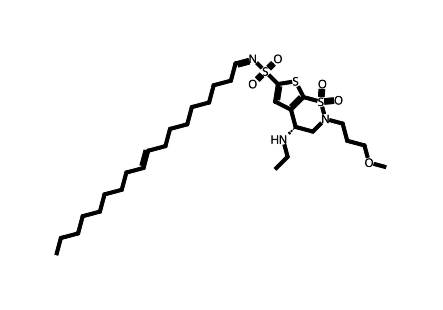 CCCCCCCC/C=C/CCCCCCC/C=N\S(=O)(=O)c1cc2c(s1)S(=O)(=O)N(CCCOC)C[C@@H]2NCC